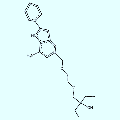 CCC(O)(CC)COCCOCc1cc(N)c2[nH]c(-c3ccccc3)cc2c1